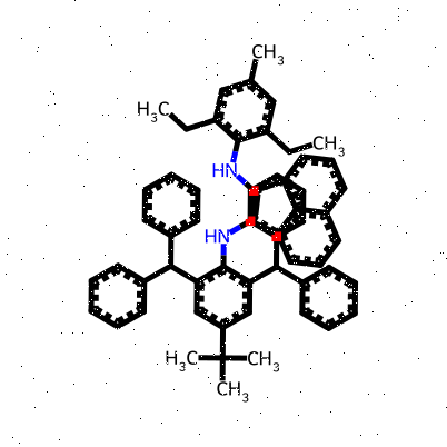 CCc1cc(C)cc(CC)c1NC1=C(Nc2c(C(c3ccccc3)c3ccccc3)cc(C(C)(C)C)cc2C(c2ccccc2)c2ccccc2)c2cccc3cccc1c23